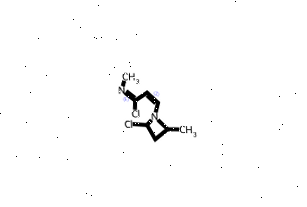 C/N=C(Cl)\C=C/N1C(C)CC1Cl